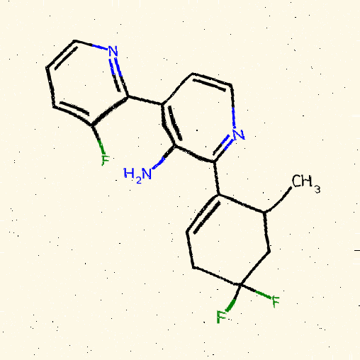 CC1CC(F)(F)CC=C1c1nccc(-c2ncccc2F)c1N